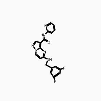 O=C(Nc1ccccn1)c1cnn2ccc(NCc3cc(F)cc(F)c3)nc12